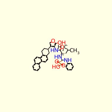 CC(C)C[C@H](NC(Nc1ccccc1)S(=O)(=O)O)C(=O)Nc1c(C2CCc3c(ccc4c3ccc3ccccc34)C2)coc1O